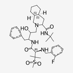 CC(C)(C)NC(=O)C1C[C@@H]2CCCC[C@@H]2CN1CC(O)C(Cc1ccccc1)NC(=O)[C@@H](NCc1ccccc1F)C(C)(C)S(C)(=O)=O